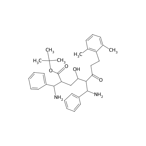 Cc1cccc(C)c1CCC(=O)C(C(O)CC(C(=O)OC(C)(C)C)C(N)c1ccccc1)C(N)c1ccccc1